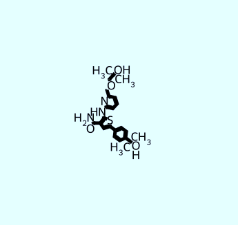 CC(C)(O)COCc1cccc(Nc2sc(-c3ccc(C(C)(C)O)cc3)cc2C(N)=O)n1